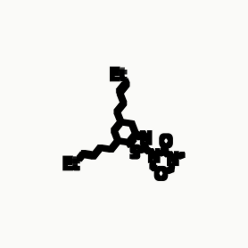 CCC=CCCC1Cc2nc(N3COCN(C)C3=O)sc2C(CCC=CCC)C1